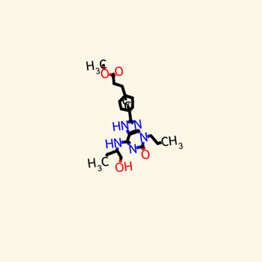 CCCn1c(=O)nc(NC(CC)CO)c2[nH]c(C34CCC(CCC(=O)OC)(CC3)CC4)nc21